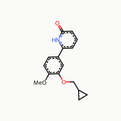 COc1ccc(-c2cccc(=O)[nH]2)cc1OCC1CC1